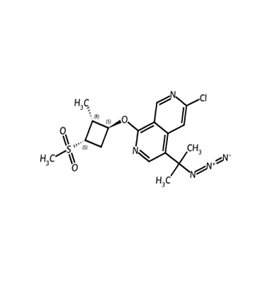 C[C@@H]1[C@@H](Oc2ncc(C(C)(C)N=[N+]=[N-])c3cc(Cl)ncc23)C[C@@H]1S(C)(=O)=O